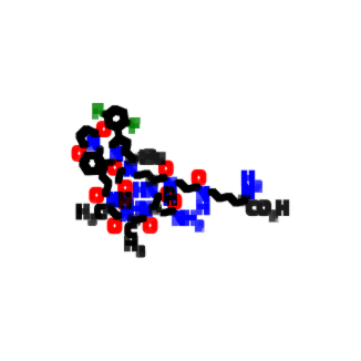 C[C@H](NC(=O)CCCCCN1C(=O)C=CC1=O)C(=O)N[C@@H](C)C(=O)N[C@@H](CC(N)=O)C(=O)N[C@@H](CCN(C(=O)CO)[C@@H](c1cc(-c2cc(F)ccc2F)cn1Cc1ccccc1)C(C)(C)C)C(=O)NCCC(=O)NCCCC[C@H](N)C(=O)O